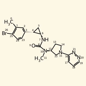 Cc1cc([C@@H]2C[C@H]2NC(=O)N(C)[C@H]2CCN(c3cccnn3)C2)ccc1Br